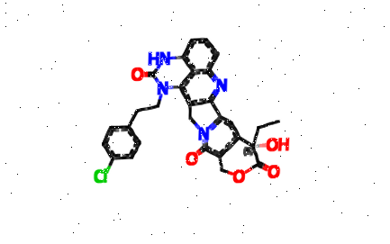 CC[C@@]1(O)C(=O)OCc2c1cc1n(c2=O)Cc2c-1nc1cccc3c1c2N(CCc1ccc(Cl)cc1)C(=O)N3